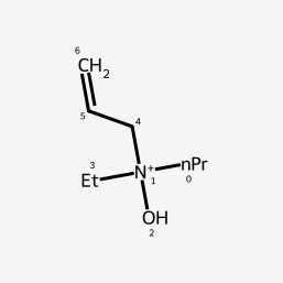 [CH2]CC[N+](O)(CC)CC=C